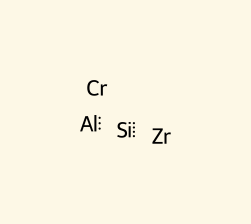 [Al].[Cr].[Si].[Zr]